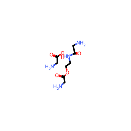 NCC(=O)NCCOC(=O)CN.NCC(=O)O